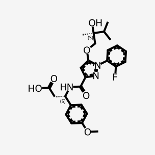 COc1ccc([C@H](CC(=O)O)NC(=O)c2cc(OC[C@@](C)(O)C(C)C)n(-c3ccccc3F)n2)cc1